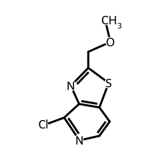 COCc1nc2c(Cl)nccc2s1